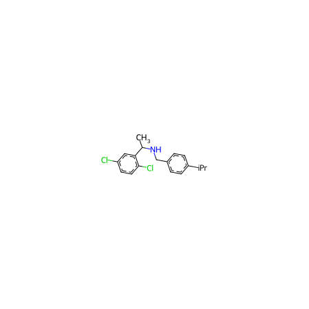 CC(C)c1ccc(CNC(C)c2cc(Cl)ccc2Cl)cc1